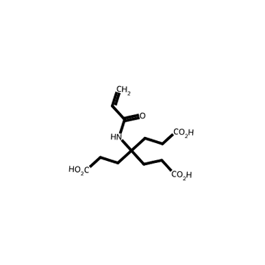 C=CC(=O)NC(CCC(=O)O)(CCC(=O)O)CCC(=O)O